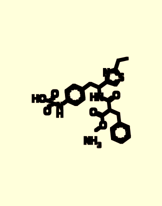 CCc1nc(C(Cc2ccc(NS(=O)(=O)O)cc2)NC(=O)C(Cc2ccccc2)C(=O)OC)cs1.N